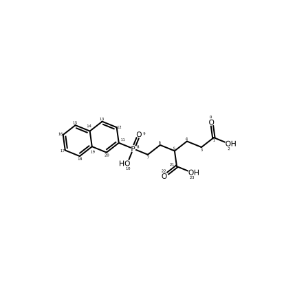 O=C(O)CCC(CCP(=O)(O)c1ccc2ccccc2c1)C(=O)O